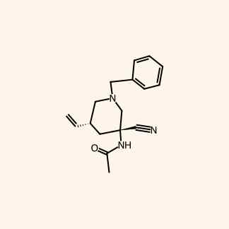 C=C[C@@H]1CN(Cc2ccccc2)C[C@](C#N)(NC(C)=O)C1